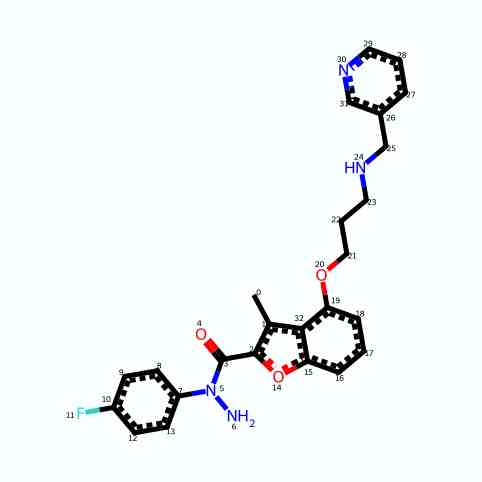 Cc1c(C(=O)N(N)c2ccc(F)cc2)oc2cccc(OCCCNCc3cccnc3)c12